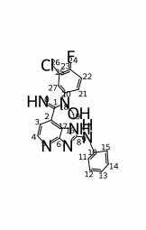 N=C(c1ccnc2nc(Nc3ccccc3)[nH]c12)N(O)c1ccc(F)c(Cl)c1